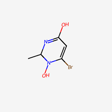 CC1N=C(O)C=C(Br)N1O